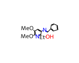 CCO.COc1cc(N=Cc2ccccc2)cnc1OC